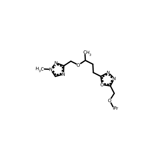 CC(C)OCc1nnc(CCC(C)OCc2ncn(C)n2)o1